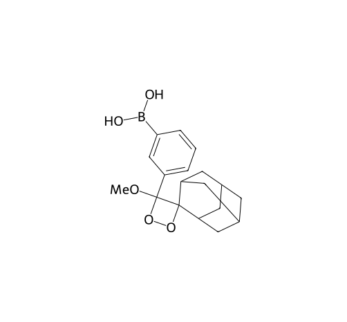 COC1(c2cccc(B(O)O)c2)OOC12C1CC3CC(C1)CC2C3